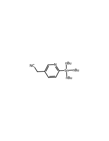 CCC[CH2][Sn]([CH2]CCC)([CH2]CCC)[c]1ccc(CC#N)cn1